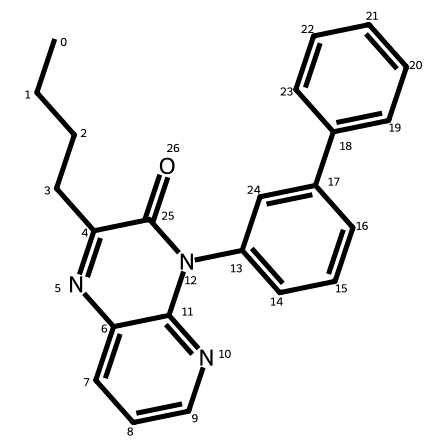 CCCCc1nc2cccnc2n(-c2cccc(-c3ccccc3)c2)c1=O